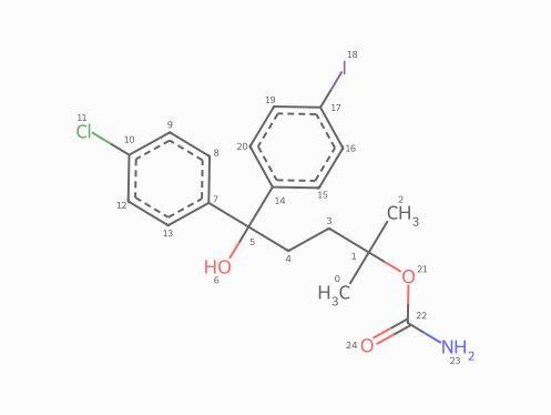 CC(C)(CCC(O)(c1ccc(Cl)cc1)c1ccc(I)cc1)OC(N)=O